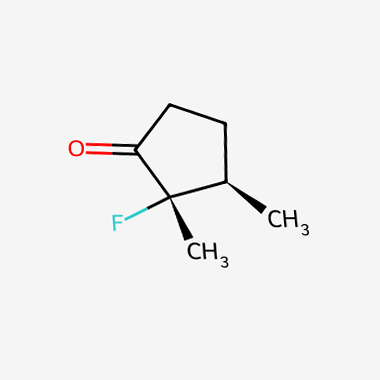 C[C@@H]1CCC(=O)[C@@]1(C)F